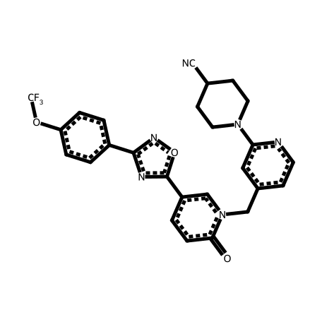 N#CC1CCN(c2cc(Cn3cc(-c4nc(-c5ccc(OC(F)(F)F)cc5)no4)ccc3=O)ccn2)CC1